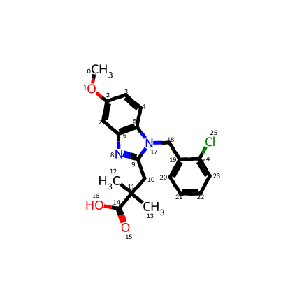 COc1ccc2c(c1)nc(CC(C)(C)C(=O)O)n2Cc1ccccc1Cl